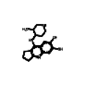 CC1CNCCC1Nc1c2c(nc3cc(O)c(O)cc13)CCC2